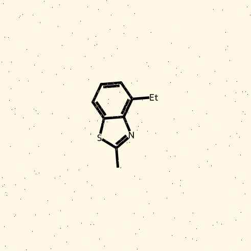 [CH2]c1nc2c(CC)cccc2s1